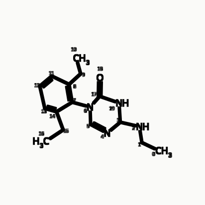 CCNC1N=CN(c2c(CC)cccc2CC)C(=O)N1